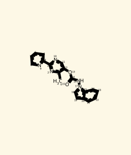 Cc1nc(-c2ccccn2)ncc1OC(=O)Nn1ccc2ccccc21